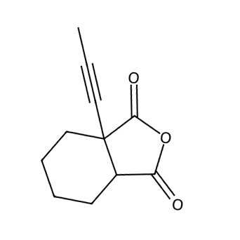 CC#CC12CCCCC1C(=O)OC2=O